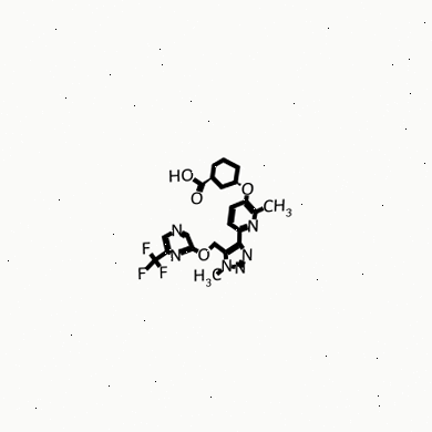 Cc1nc(-c2nnn(C)c2COc2cncc(C(F)(F)F)n2)ccc1O[C@H]1CCC[C@H](C(=O)O)C1